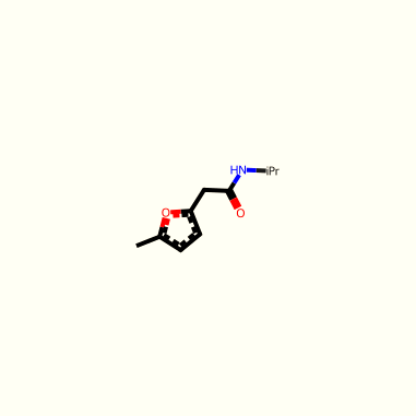 Cc1ccc(CC(=O)NC(C)C)o1